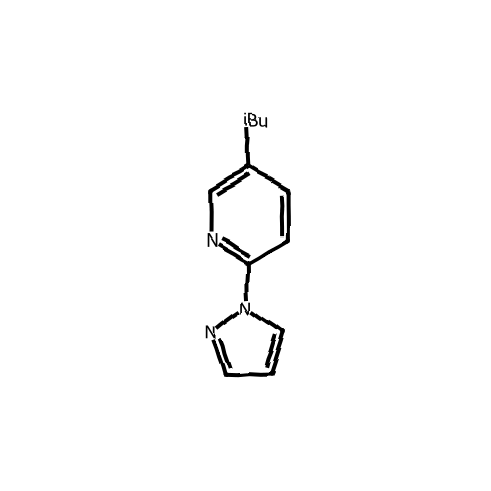 CCC(C)c1ccc(-n2cccn2)nc1